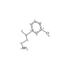 CC(CCN)c1cccc(Cl)c1